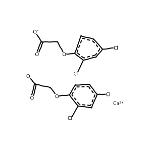 O=C([O-])COc1ccc(Cl)cc1Cl.O=C([O-])COc1ccc(Cl)cc1Cl.[Ca+2]